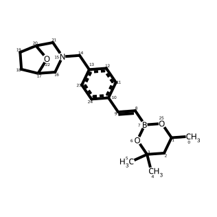 CC1CC(C)(C)OB(/C=C/c2ccc(CN3CC4CCC(C3)O4)cc2)O1